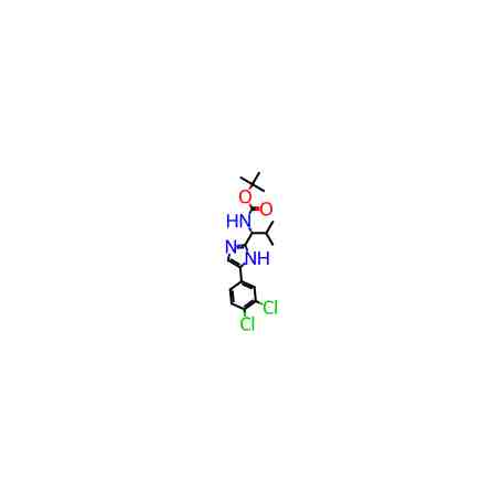 CC(C)[C@H](NC(=O)OC(C)(C)C)c1ncc(-c2ccc(Cl)c(Cl)c2)[nH]1